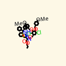 C=CCOC(=O)C(=NOCc1cc(Cl)c(OCc2ccc(OC)cc2)c(OCc2ccc(OC)cc2)c1Cl)c1csc(NC(c2ccccc2)(c2ccccc2)c2ccccc2)n1